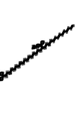 CCCCCCCCCCCCCCC(CCCCCCCCCCCCCCCCCC(=O)[O-])C(=O)[O-].[Zn+2]